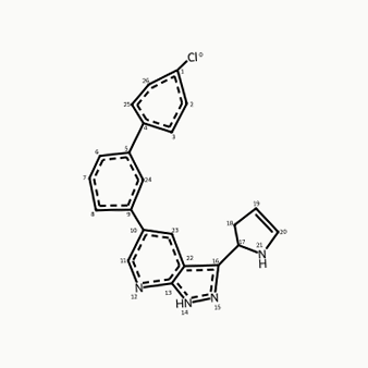 Clc1ccc(-c2cccc(-c3cnc4[nH]nc(C5CC=CN5)c4c3)c2)cc1